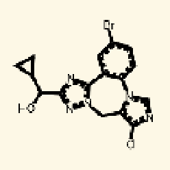 OC(c1nc2n(n1)Cc1c(Cl)ncn1-c1ccc(Br)cc1-2)C1CC1